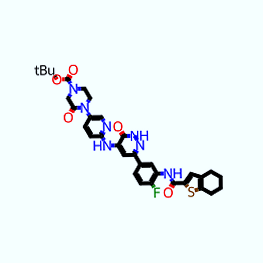 CC(C)(C)OC(=O)N1CCN(c2ccc(Nc3cc(-c4ccc(F)c(NC(=O)c5cc6c(s5)CCCC6)c4)n[nH]c3=O)nc2)C(=O)C1